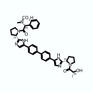 C[C@@H](O)C(=O)N1CCC[C@H]1c1ncc(-c2ccc(-c3ccc(-c4cnc([C@@H]5CCCN5C(=O)[C@@H](c5ccccc5)N(C)C(=O)O)[nH]4)cc3)cc2)[nH]1